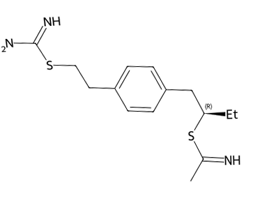 CC[C@H](Cc1ccc(CCSC(=N)N)cc1)SC(C)=N